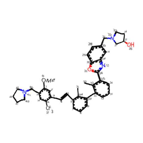 COc1cc(/C=C/c2cccc(-c3cccc(-c4nc5cc(CN6CC[C@@H](O)C6)ccc5o4)c3C)c2C)c(C(F)(F)F)cc1CN1CCCC1